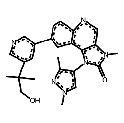 Cc1nn(C)cc1-n1c(=O)n(C)c2cnc3ccc(-c4cncc(C(C)(C)CO)c4)cc3c21